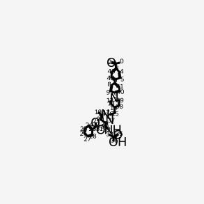 CC(=O)c1ccc(-c2ccc(N3CCC(Cc4nc(C)c(OCc5ccccc5)c(C(=O)NCC(=O)O)n4)CC3)cc2)cc1